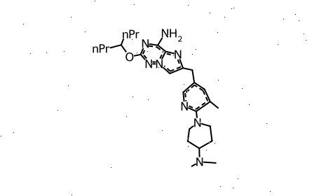 CCCC(CCC)Oc1nc(N)c2nc(Cc3cnc(N4CCC(N(C)C)CC4)c(C)c3)cn2n1